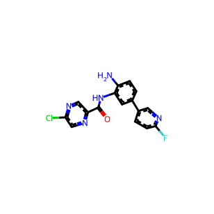 Nc1ccc(-c2ccc(F)nc2)cc1NC(=O)c1cnc(Cl)cn1